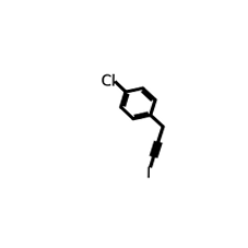 Clc1ccc(CC#CI)cc1